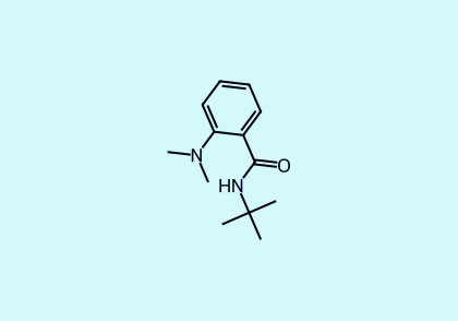 CN(C)c1ccccc1C(=O)NC(C)(C)C